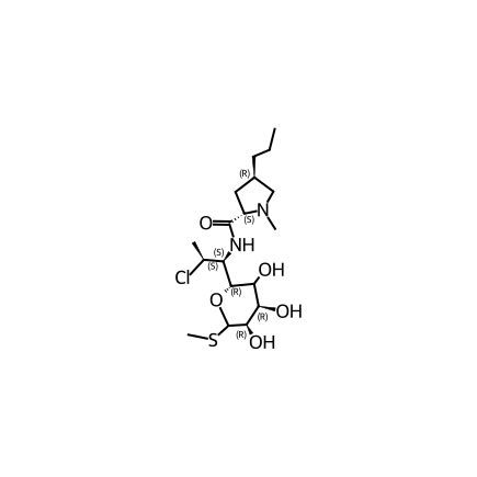 CCC[C@@H]1C[C@@H](C(=O)N[C@H]([C@H](C)Cl)[C@H]2OC(SC)[C@H](O)[C@H](O)C2O)N(C)C1